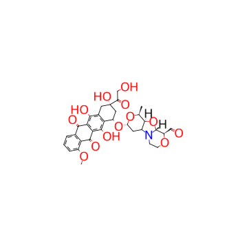 COc1cccc2c1C(=O)c1c(O)c3c(c(O)c1C2=O)C[C@@](O)(C(=O)CO)C[C@@H]3O[C@H]1CC2[C@H](O[C@@H]3[C@@H](C=O)OCCN23)[C@H](C)O1